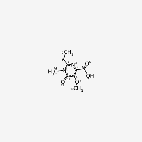 CCc1nc(C(=O)O)c(OC)c(=O)n1C